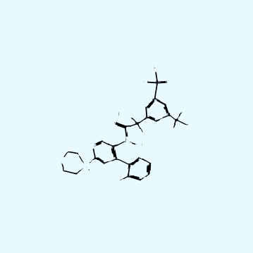 Cc1ccccc1-c1cc([N+]2([O-])CCOCC2)ncc1N(C)C(=O)C(C)(C)c1cc(C(F)(F)F)cc(C(F)(F)F)c1